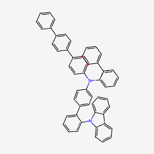 c1ccc(-c2ccc(-c3ccc(N(c4ccc(-c5ccccc5-n5c6ccccc6c6ccccc65)cc4)c4ccccc4-c4ccccc4)cc3)cc2)cc1